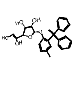 Cc1ccc(O[C@H]2O[C@@H]([C@@H](O)CO)[C@H](O)[C@H]2O)c(C(C)(c2ccccc2)c2ccccc2)c1